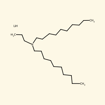 [CH2]CCN(CCCCCCCCCC)CCCCCCCCCC.[LiH]